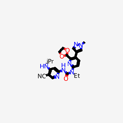 CCN(C(=O)Nc1cc(NC(C)C)c(C#N)cn1)c1ccc(-c2cnn(C)c2)c(C2OCCO2)n1